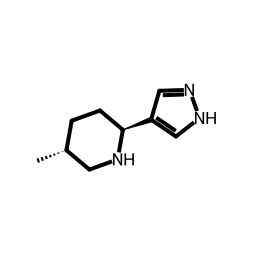 C[C@@H]1CC[C@@H](c2cn[nH]c2)NC1